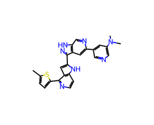 Cc1ccc(-c2nccc3[nH]c(-c4n[nH]c5cnc(-c6cncc(N(C)C)c6)cc45)cc23)s1